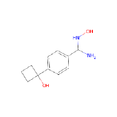 NC(NO)c1ccc(C2(O)CCC2)cc1